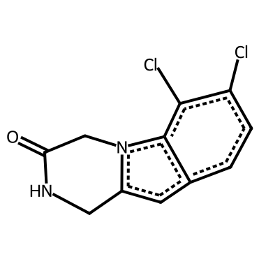 O=C1Cn2c(cc3ccc(Cl)c(Cl)c32)CN1